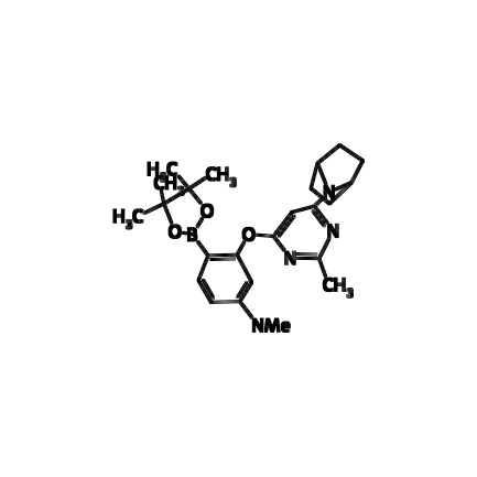 CNc1ccc(B2OC(C)(C)C(C)(C)O2)c(Oc2cc(N3C4CCC3CC4)nc(C)n2)c1